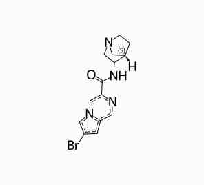 O=C(NC1CN2CC[C@H]1C2)c1cn2cc(Br)cc2cn1